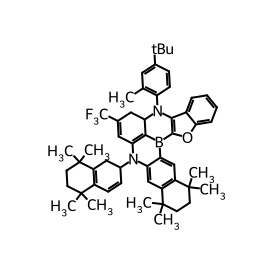 Cc1cc(C(C)(C)C)ccc1N1c2c(oc3ccccc23)B2C3=C(C=C(C(F)(F)F)CC31)N(C1C=CC3=C(C1)C(C)(C)CCC3(C)C)c1cc3c(cc12)C(C)(C)CCC3(C)C